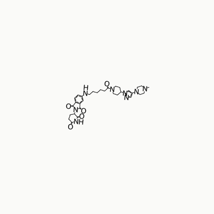 CN1CCN(c2cnn(C3CCN(C(=O)CCCCCNc4ccc5c(c4)C(=O)N(C4CCC(=O)NC4=O)C5=O)CC3)c2)CC1